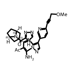 COCC#Cc1ccc(-c2cnn3c(N)c(C(C)=O)c([C@@H]4C[C@H]5CC[C@@H](C4)N5C(=O)c4nnc[nH]4)nc23)cn1